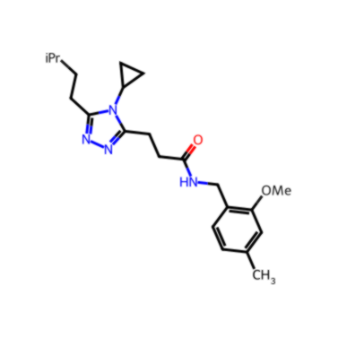 COc1cc(C)ccc1CNC(=O)CCc1nnc(CCC(C)C)n1C1CC1